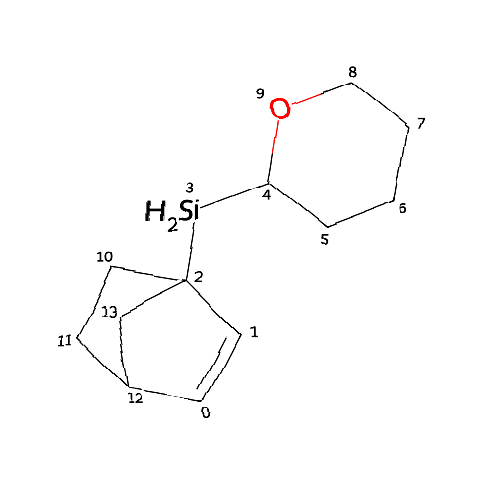 C1=CC2([SiH2]C3CCCCO3)CCC1C2